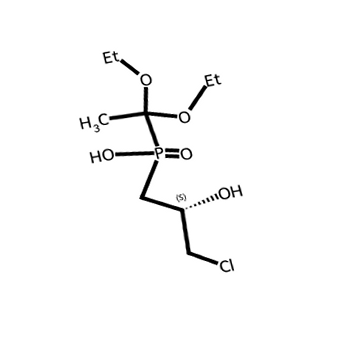 CCOC(C)(OCC)P(=O)(O)C[C@H](O)CCl